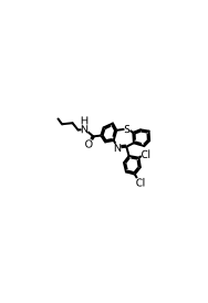 CCCCNC(=O)c1ccc2c(c1)N=C(c1ccc(Cl)cc1Cl)c1ccccc1S2